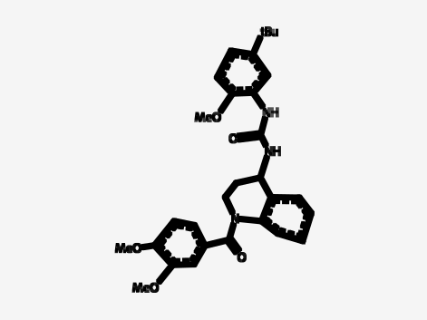 COc1ccc(C(C)(C)C)cc1NC(=O)NC1CCN(C(=O)c2ccc(OC)c(OC)c2)c2ccccc21